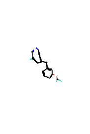 Fc1cncc([CH]c2cccc(OC(F)F)c2)c1